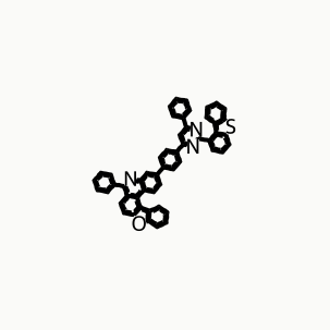 c1ccc(-c2cc(-c3ccc(-c4ccc5c(c4)nc(-c4ccccc4)c4ccc6oc7ccccc7c6c45)cc3)nc(-c3cccc4sc5ccccc5c34)n2)cc1